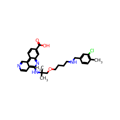 Cc1ccc(CNCCCCOCC(C)(C)Nc2nc3cc(C(=O)O)ccc3c3cnccc23)cc1Cl